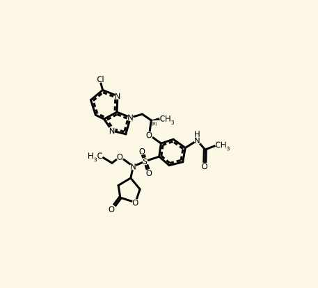 CCON(C1COC(=O)C1)S(=O)(=O)c1ccc(NC(C)=O)cc1O[C@H](C)Cn1cnc2ccc(Cl)nc21